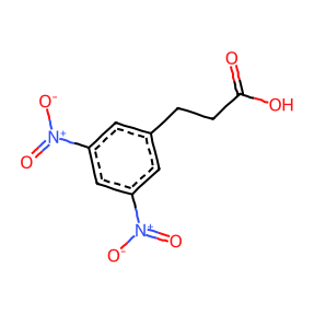 O=C(O)CCc1cc([N+](=O)[O-])cc([N+](=O)[O-])c1